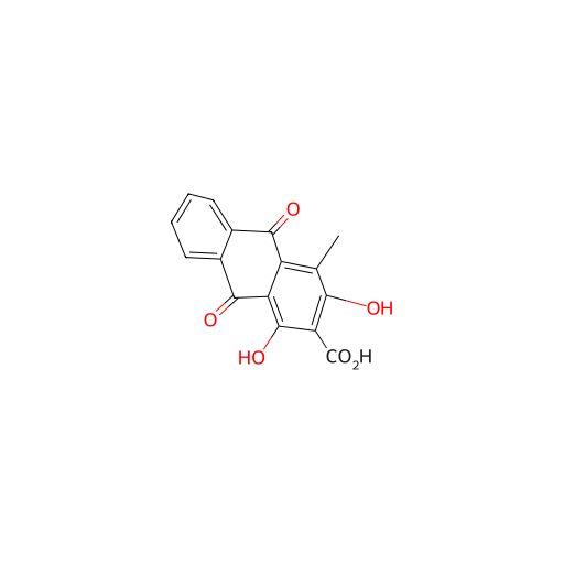 Cc1c(O)c(C(=O)O)c(O)c2c1C(=O)c1ccccc1C2=O